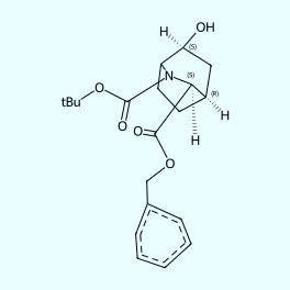 CC(C)(C)OC(=O)N1C2CC[C@H](C[C@@H]2O)[C@H]1C(=O)OCc1ccccc1